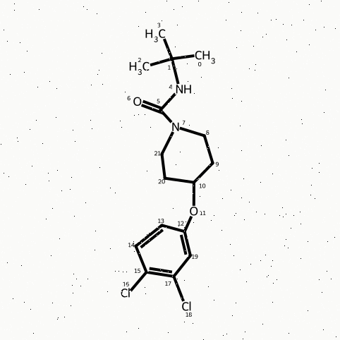 CC(C)(C)NC(=O)N1CCC(Oc2ccc(Cl)c(Cl)c2)CC1